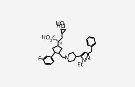 CCn1nc(Cc2ccccc2)cc1C1CCN(CC2CC([C@H](CC3CC3)C(=O)O)CC2c2cccc(F)c2)CC1.Cl.Cl